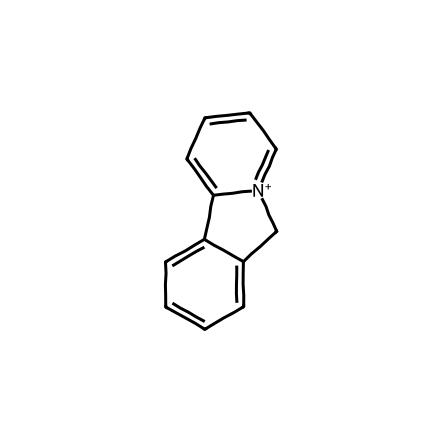 c1ccc2c(c1)C[n+]1ccccc1-2